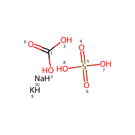 O=C(O)O.O=S(=O)(O)O.[KH].[NaH]